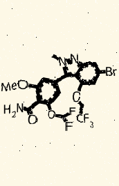 COc1cc(-c2c3c(OCC(F)(F)F)cc(Br)cc3nn2C)cc(OC(F)F)c1C(N)=O